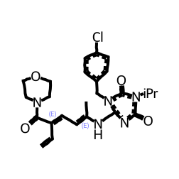 C=C/C(=C\C=C(/C)Nc1nc(=O)n(C(C)C)c(=O)n1Cc1ccc(Cl)cc1)C(=O)N1CCOCC1